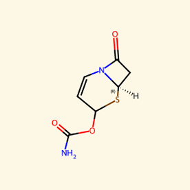 NC(=O)OC1C=CN2C(=O)C[C@H]2S1